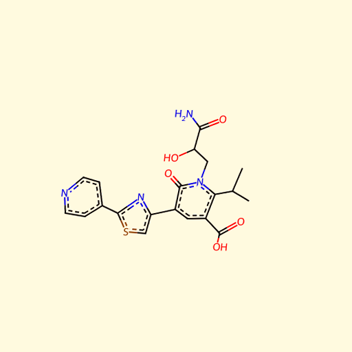 CC(C)c1c(C(=O)O)cc(-c2csc(-c3ccncc3)n2)c(=O)n1CC(O)C(N)=O